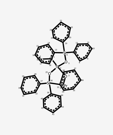 CCC[O][Ti]([O]CCC)([O][Si](c1ccccc1)(c1ccccc1)c1ccccc1)[O][Si](c1ccccc1)(c1ccccc1)c1ccccc1